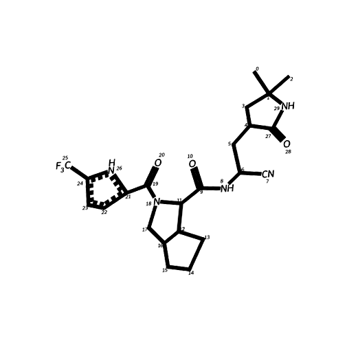 CC1(C)CC(CC(C#N)NC(=O)C2C3CCCC3CN2C(=O)c2ccc(C(F)(F)F)[nH]2)C(=O)N1